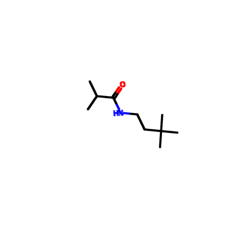 CC(C)C(=O)NCCC(C)(C)C